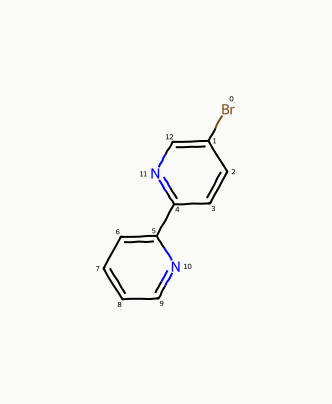 Brc1ccc(-c2ccccn2)nc1